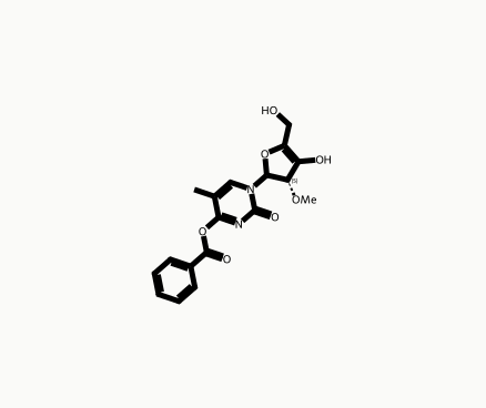 CO[C@H]1C(O)=C(CO)OC1n1cc(C)c(OC(=O)c2ccccc2)nc1=O